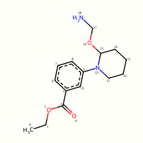 CCOC(=O)c1cccc(N2CCCCC2OCN)c1